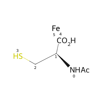 CC(=O)N[C@@H](CS)C(=O)O.[Fe]